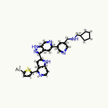 CC(=O)c1ccc(-c2nccc3[nH]c(-c4n[nH]c5cnc(-c6cncc(CNCC7CCCC7)c6)cc45)cc23)s1